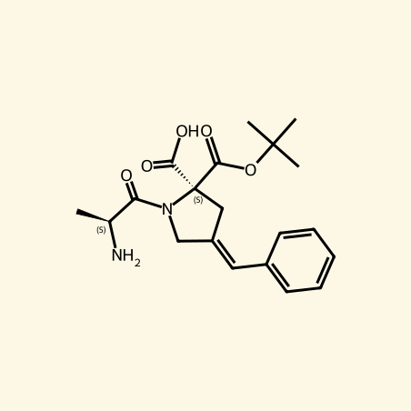 C[C@H](N)C(=O)N1CC(=Cc2ccccc2)C[C@]1(C(=O)O)C(=O)OC(C)(C)C